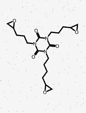 O=c1n(CCCCC2CO2)c(=O)n(CCCC2CO2)c(=O)n1CCCC1CO1